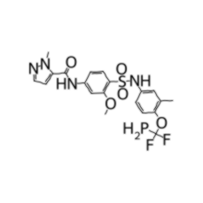 COc1cc(NC(=O)c2ccnn2C)ccc1S(=O)(=O)Nc1ccc(OC(F)(F)P)c(C)c1